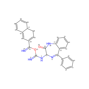 N=C(NC1N=C(c2ccccc2)c2ccccc2NC1=O)OC(=N)C1=CCC2C=CC=CC2=C1